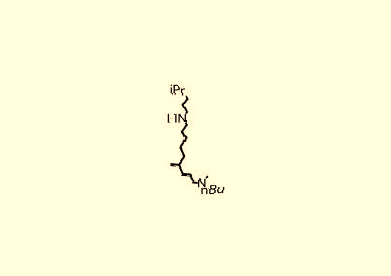 CCCCN(C)CCCC(C)CCCCCNCCCC(C)C